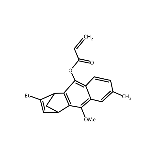 C=CC(=O)Oc1c2c(c(OC)c3cc(C)ccc13)C1C=C(CC)C2C1